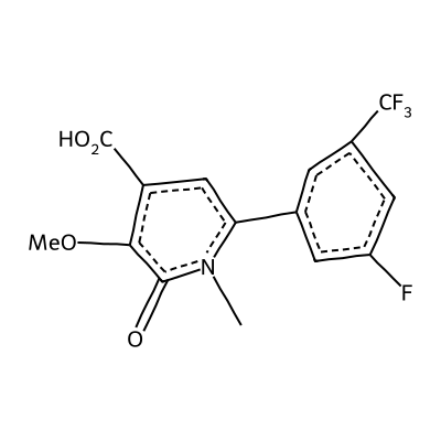 COc1c(C(=O)O)cc(-c2cc(F)cc(C(F)(F)F)c2)n(C)c1=O